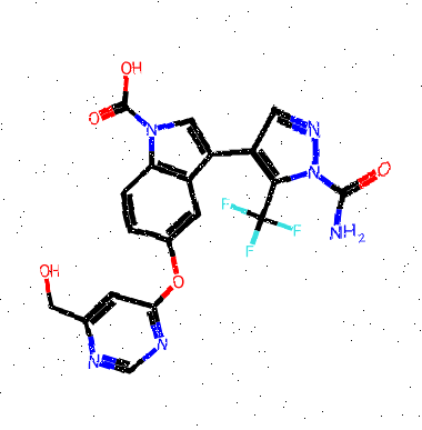 NC(=O)n1n[c]c(-c2cn(C(=O)O)c3ccc(Oc4cc(CO)ncn4)cc23)c1C(F)(F)F